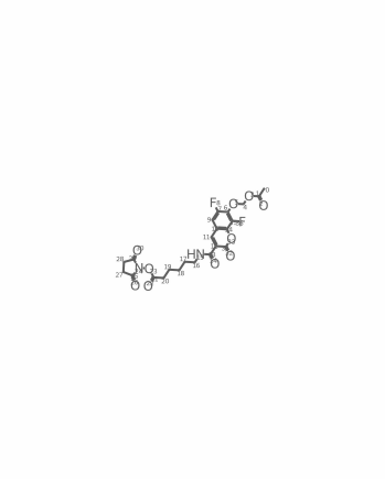 CC(=O)OCOc1c(F)cc2cc(C(=O)NCCCCCC(=O)ON3C(=O)CCC3=O)c(=O)oc2c1F